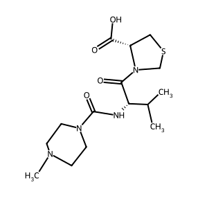 CC(C)[C@H](NC(=O)N1CCN(C)CC1)C(=O)N1CSC[C@H]1C(=O)O